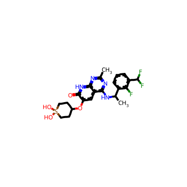 Cc1nc(NC(C)c2cccc(C(F)F)c2F)c2cc(OC3CCS(O)(O)CC3)c(=O)[nH]c2n1